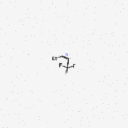 CC/C=[C]\C(F)(F)F